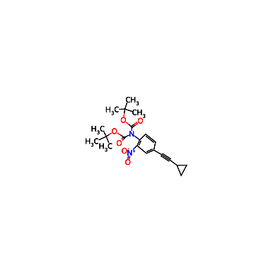 CC(C)(C)OC(=O)N(C(=O)OC(C)(C)C)c1ccc(C#CC2CC2)cc1[N+](=O)[O-]